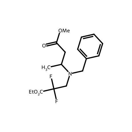 CCOC(=O)C(F)(F)CN(Cc1ccccc1)C(C)CC(=O)OC